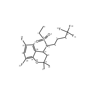 CCS(=O)(=O)N(CCCC(F)(F)F)C1CC(C)(C)Oc2c(F)cc(F)cc21